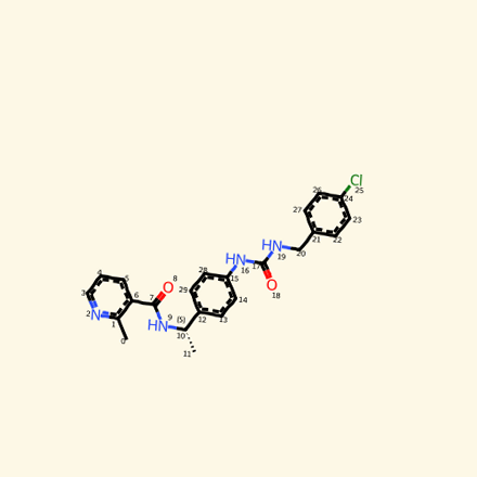 Cc1ncccc1C(=O)N[C@@H](C)c1ccc(NC(=O)NCc2ccc(Cl)cc2)cc1